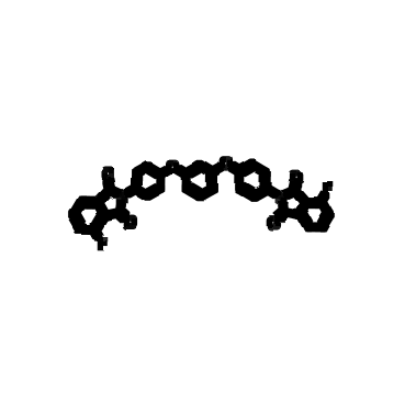 O=C1c2cccc(F)c2C(=O)N1c1ccc(Oc2cccc(Oc3ccc(N4C(=O)c5cccc(F)c5C4=O)cc3)c2)cc1